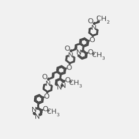 C=CC(=O)N1CCC(Oc2ccc(/C=C/C(=O)N3CCC(Oc4ccc(/C=C/C(=O)N5CCC(Oc6cccc(-c7ncncc7OC)c6)CC5)c(-c5ccnnc5OC)c4)CC3)c(-c3ncccc3OC)c2)CC1